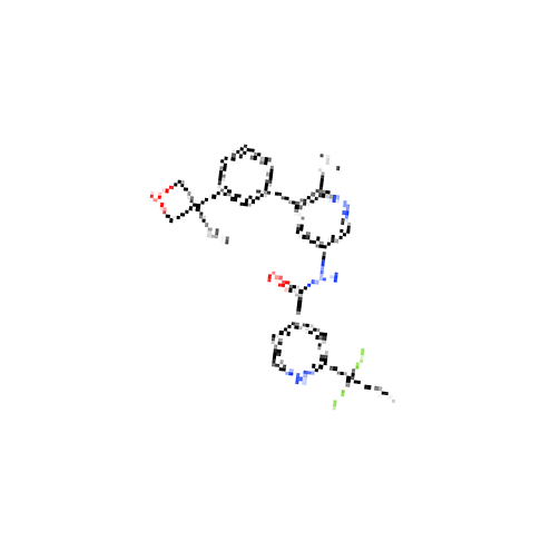 Cc1ncc(NC(=O)c2ccnc(C(C)(F)F)c2)cc1-c1cccc(C2(C)COC2)c1